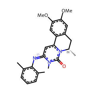 COc1cc2c(cc1OC)-c1c/c(=N/c3c(C)cccc3C)n(C)c(=O)n1[C@@H](C)C2